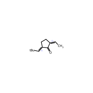 C/C=C1/CC/C(=C\C(C)(C)C)C1=O